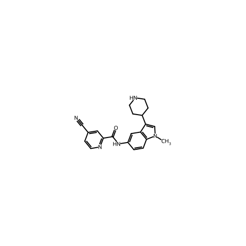 Cn1cc(C2CCNCC2)c2cc(NC(=O)c3cc(C#N)ccn3)ccc21